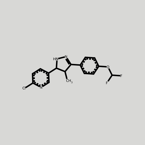 CC1C(c2ccc(OC(F)F)cc2)=NNC1c1ccc(Cl)nc1